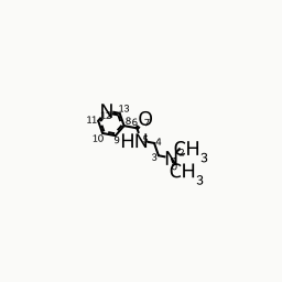 CN(C)CCNC(=O)c1cccnc1